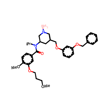 BN1CC(COc2cccc(OCc3ccccc3)c2)CC(N(C(=O)c2ccc(OC)c(OCCCOC)c2)C(C)C)C1